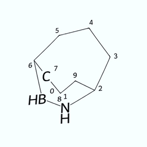 B1NC2CCCC1CCC2